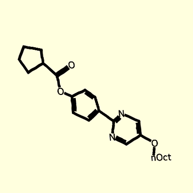 CCCCCCCCOc1cnc(-c2ccc(OC(=O)C3CCCC3)cc2)nc1